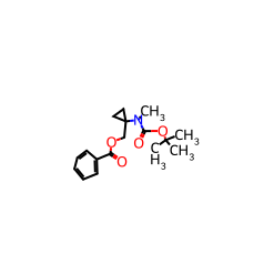 CN(C(=O)OC(C)(C)C)C1(COC(=O)c2ccccc2)CC1